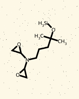 CC(C)(CCCN(C1CO1)C1CO1)O[SiH3]